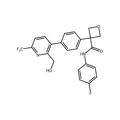 O=C(Nc1ccc(F)cc1)C1(c2ccc(-c3ccc(C(F)(F)F)nc3CO)cc2)COC1